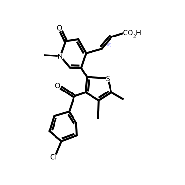 Cc1sc(-c2cn(C)c(=O)cc2/C=C/C(=O)O)c(C(=O)c2ccc(Cl)cc2)c1C